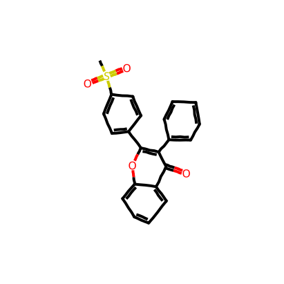 CS(=O)(=O)c1ccc(-c2oc3ccccc3c(=O)c2-c2ccccc2)cc1